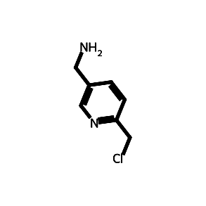 NCc1ccc(CCl)nc1